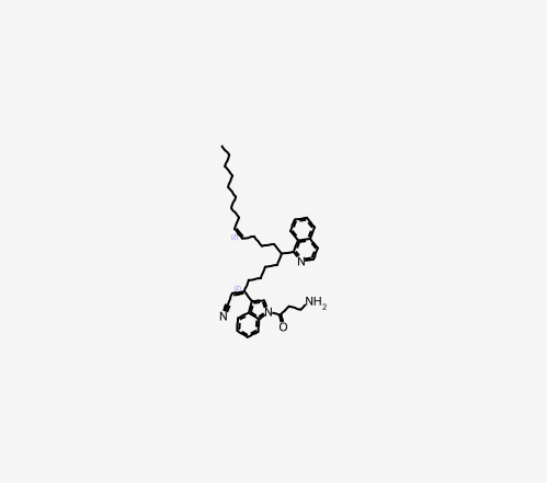 CCCCCCCC/C=C\CCCC(CCCC/C(=C/C#N)c1cn(C(=O)CCN)c2ccccc12)c1nccc2ccccc12